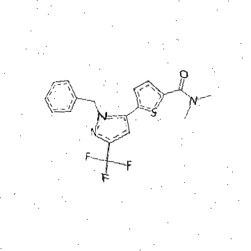 CN(C)C(=O)c1ccc(-c2cc(C(F)(F)F)nn2Cc2ccccc2)s1